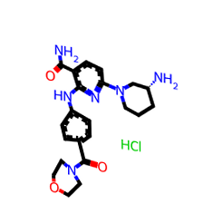 Cl.NC(=O)c1ccc(N2CCC[C@@H](N)C2)nc1Nc1ccc(C(=O)N2CCOCC2)cc1